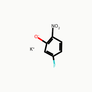 O=[N+]([O-])c1ccc(F)cc1[O-].[K+]